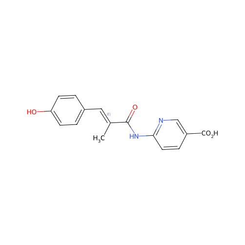 C/C(=C\c1ccc(O)cc1)C(=O)Nc1ccc(C(=O)O)cn1